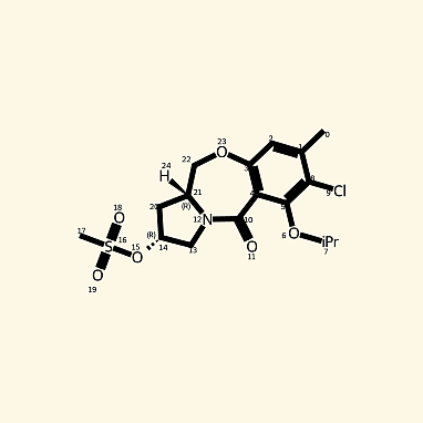 Cc1cc2c(c(OC(C)C)c1Cl)C(=O)N1C[C@H](OS(C)(=O)=O)C[C@@H]1CO2